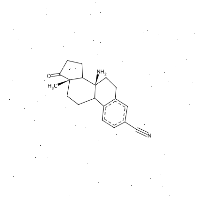 C[C@]12CCC3c4ccc(C#N)cc4CC[C@@]3(N)C1CCC2=O